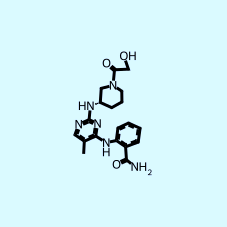 Cc1cnc(N[C@H]2CCCN(C(=O)CO)C2)nc1Nc1ccccc1C(N)=O